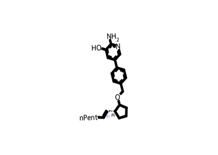 CCCCC/C=C/[C@H]1CCCC1OCc1ccc(-c2cnc(N)c(O)c2)cc1